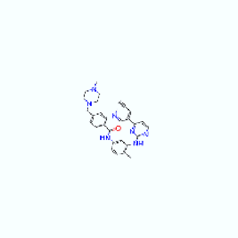 C#C/C=C(\C=N/C)c1ccnc(Nc2cc(NC(=O)c3ccc(CN4CCN(C)CC4)cc3)ccc2C)n1